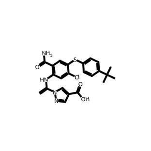 C=C(Nc1cc(Cl)c(Sc2ccc(C(C)(C)C)cc2)cc1C(N)=O)n1cc(C(=O)O)cn1